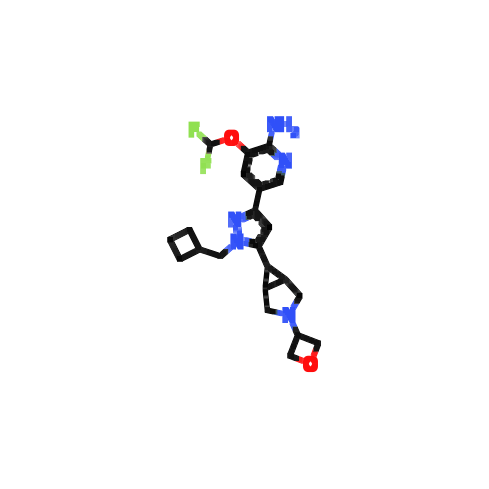 Nc1ncc(-c2cc(C3C4CN(C5COC5)CC43)n(CC3CCC3)n2)cc1OC(F)F